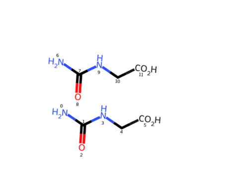 NC(=O)NCC(=O)O.NC(=O)NCC(=O)O